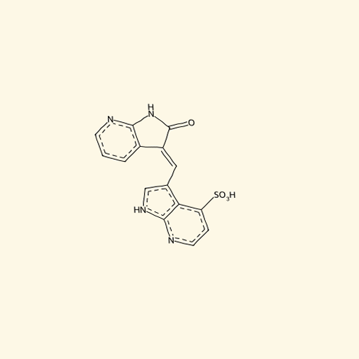 O=C1Nc2ncccc2C1=Cc1c[nH]c2nccc(S(=O)(=O)O)c12